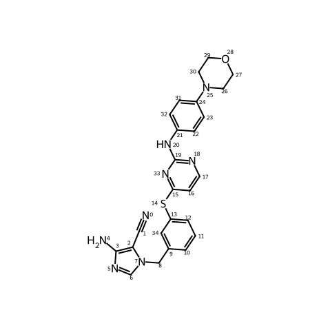 N#Cc1c(N)ncn1Cc1cccc(Sc2ccnc(Nc3ccc(N4CCOCC4)cc3)n2)c1